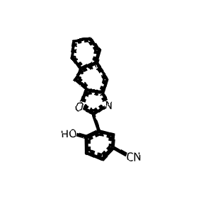 N#Cc1ccc(O)c(-c2nc3cc4ccccc4cc3o2)c1